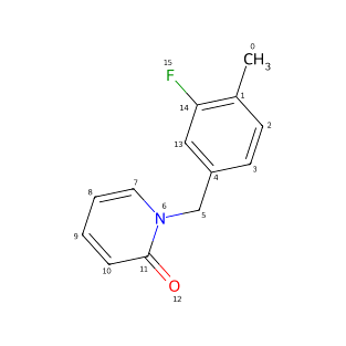 Cc1ccc(Cn2ccccc2=O)cc1F